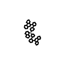 c1cc(-c2ccccc2-c2cc3ccccc3c3ccccc23)cc(N(c2ccc(-c3ccccc3-c3cc4ccccc4c4ccccc34)cc2)c2cccc3ccccc23)c1